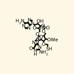 COC1C(CO[PH](=O)OC2C(COP=O)OC(n3cnc4c(N)ncnc43)C2O)OC(n2cnc3c(=O)[nH]c(N)nc32)C1OCS